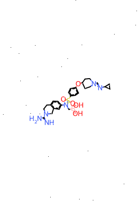 N=C(N)N1CCc2ccc(N(CB(O)O)S(=O)(=O)c3ccc(OC4CCN(C=NC5CC5)CC4)cc3)cc2C1